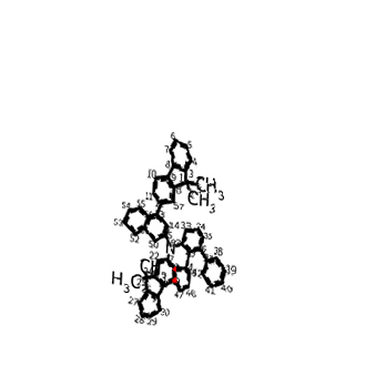 CC1(C)c2ccccc2-c2ccc(-c3cc(N(c4ccc5c(c4)C(C)(C)c4ccccc4-5)c4cccc(-c5ccccc5)c4-c4ccccc4)cc4ccccc34)cc21